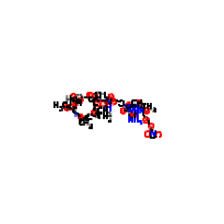 C=C1C/C2=C\C[C@]34C[C@@H](OC)C(O3)[C@H]3CC(O4)[C@H]4OC(CCC4O3)CC(=O)CC3C(CC4OC(CCC1O2)C[C@@H](C)C4=C)OC(CC(O)CNC(=O)OCc1ccc(NC(=O)C(CC(N)=O)NC(=O)[C@H](C)NC(=O)C(C)NC(=O)CCOCCOCCN2C(=O)C=CC2=O)cc1)[C@@H]3OC